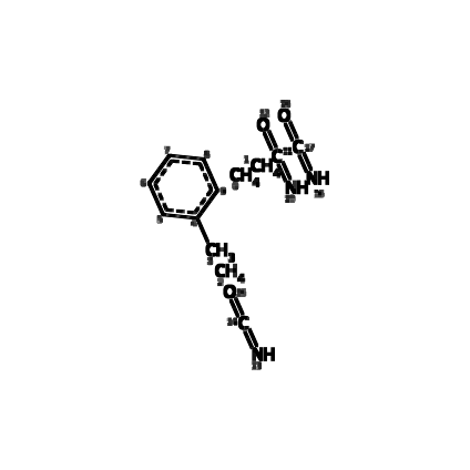 C.C.C.Cc1ccccc1.N=C=O.N=C=O.N=C=O